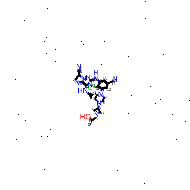 C[C@@H](O)CN1CC(N2CCN(c3cc(C#N)cc(Nc4nc(NC5CC5)c5ncc(C#N)n5n4)c3Cl)CC2)C1